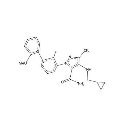 COc1ccccc1-c1cccc(-n2nc(C(F)(F)F)c(NCC3CC3)c2C(N)=O)c1C